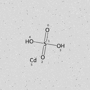 O=S(=O)(O)O.[Cd]